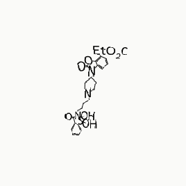 CCOC(=O)c1cccc2c1oc(=O)n2C1CCN(CCCCN2C(=O)c3ccccc3S2(O)O)CC1